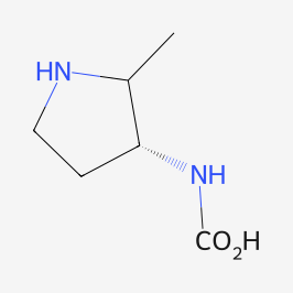 CC1NCC[C@H]1NC(=O)O